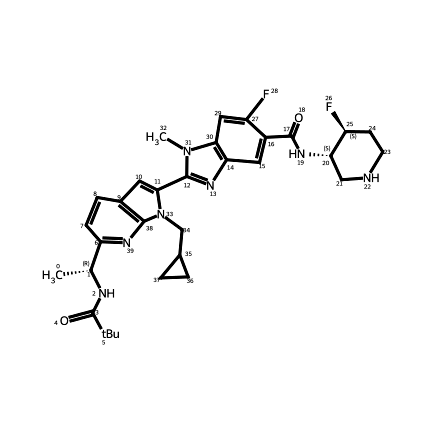 C[C@@H](NC(=O)C(C)(C)C)c1ccc2cc(-c3nc4cc(C(=O)N[C@H]5CNCC[C@@H]5F)c(F)cc4n3C)n(CC3CC3)c2n1